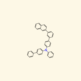 c1ccc(-c2ccc(N(c3ccccc3)c3ccc(-c4cccc(-c5ccc6ccccc6c5)c4)cc3)cc2)cc1